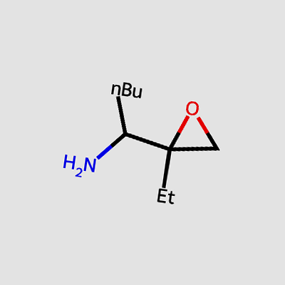 CCCCC(N)C1(CC)CO1